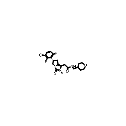 Cn1c(CC(=O)NCC2CCOCC2)c2n(c1=S)C[C@H](c1c(F)ccc(Cl)c1F)C2